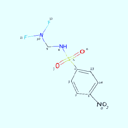 O=[N+]([O-])c1ccc(S(=O)(=O)NCN(F)F)cc1